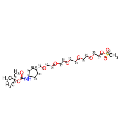 CC(C)(C)OC(=O)N[C@H]1CC[C@H](COCCOCCOCCOCCOCCOS(C)(=O)=O)CC1